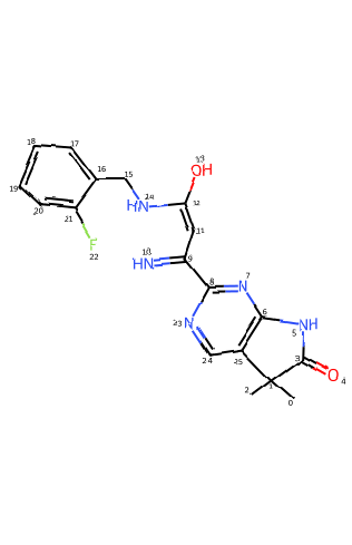 CC1(C)C(=O)Nc2nc(C(=N)/C=C(/O)NCc3ccccc3F)ncc21